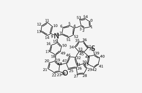 c1ccc(-c2ccc(N(c3ccccc3)c3ccc(-c4cccc5oc6c7ccccc7c(-c7cccc8sc9ccccc9c78)cc6c45)cc3)cc2)cc1